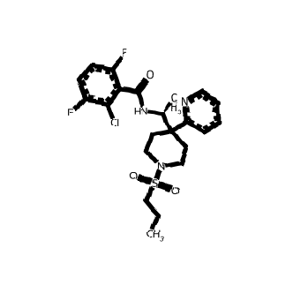 CCCS(=O)(=O)N1CCC(c2ccccn2)([C@H](C)NC(=O)c2c(F)ccc(F)c2Cl)CC1